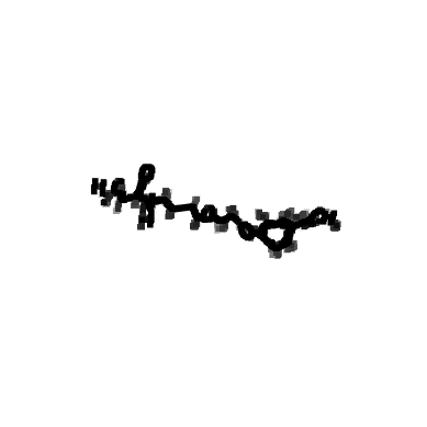 C=CC(=O)NCCCCOCCOc1ccc(C)cc1